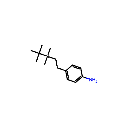 CC(C)(C)[Si](C)(C)CCc1ccc(N)cc1